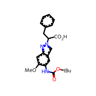 COc1cc2nn(C(Cc3ccccc3)C(=O)O)cc2cc1NC(=O)OC(C)(C)C